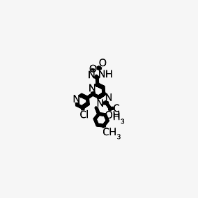 CC1CCC(Cn2c(C(C)O)nc3cc(-c4noc(=O)[nH]4)nc(-c4cncc(Cl)c4)c32)CC1